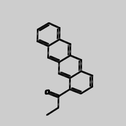 CCC(=O)c1cccc2cc3cc4ccccc4cc3cc12